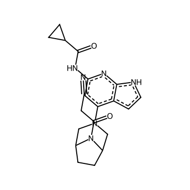 N#CCC(=O)N1C2CCC1CN(c1cc(NC(=O)C3CC3)nc3[nH]ccc13)C2